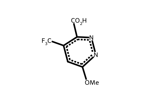 COc1cc(C(F)(F)F)c(C(=O)O)nn1